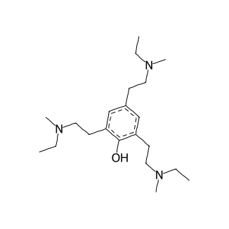 CCN(C)CCc1cc(CCN(C)CC)c(O)c(CCN(C)CC)c1